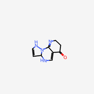 O=C1CCN=C2C1=CNC1C=CNN21